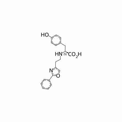 O=C(O)[C@H](Cc1ccc(O)cc1)NCCc1coc(-c2ccccc2)n1